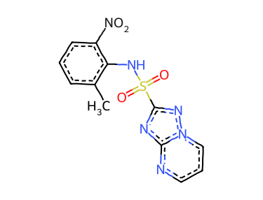 Cc1cccc([N+](=O)[O-])c1NS(=O)(=O)c1nc2ncccn2n1